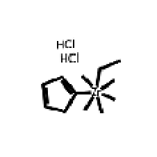 C[CH2][Zr]([CH3])([CH3])([CH3])([CH3])([CH3])[C]1=CC=CC1.Cl.Cl